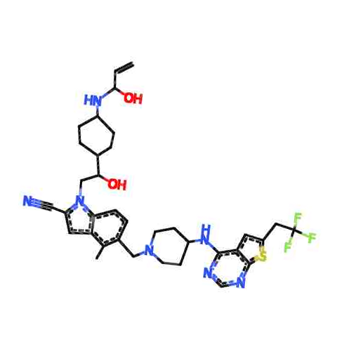 C=CC(O)NC1CCC(C(O)Cn2c(C#N)cc3c(C)c(CN4CCC(Nc5ncnc6sc(CC(F)(F)F)cc56)CC4)ccc32)CC1